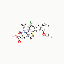 COCCC(C)Oc1cc2c(cc1Cl)-c1c(cc(C(=O)O)c(=O)n1C1CC1)CS2